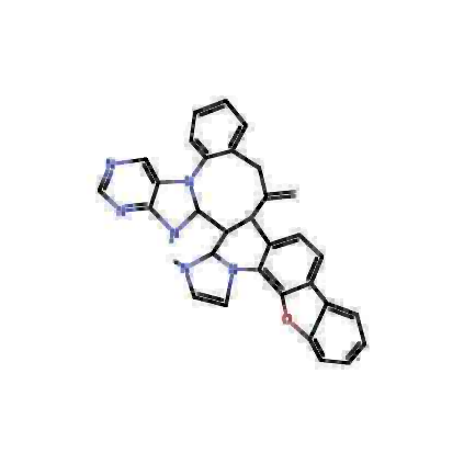 C=C1Cc2ccccc2N2c3cncnc3N(C)C2C2C1c1ccc3c(oc4ccccc43)c1N1C=CN(C)C21